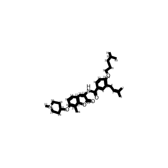 CC(C)=CCc1cc(C(=O)Nc2cc3ccc(OC4CCN(C)CC4)c(C)c3oc2=O)ccc1OCCCC(C)C